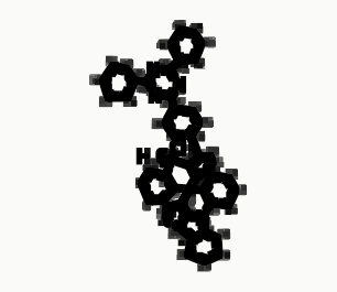 C[Si]1(C)c2ccccc2C2(c3ccccc3-n3c4ccccc4c4cccc2c43)c2cccc(-c3ccc(-c4nc(-c5ccccc5)nc(-c5ccccc5)n4)cc3)c21